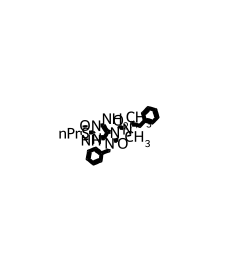 CCCS(=N)(=O)c1nc(N)c2c(n1)n(Cc1ccccc1)c(=O)n2C(=O)N(C)[C@@H](C)Cc1ccccc1